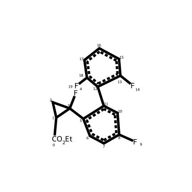 CCOC(=O)C1CC1(F)c1ccc(F)cc1-c1c(F)cccc1F